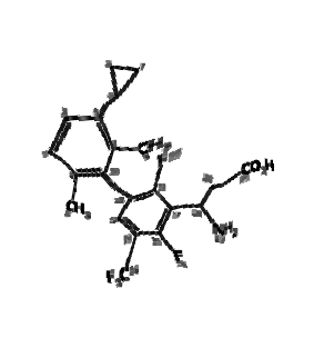 Cc1ccc(C2CC2)c(C)c1-c1cc(C(F)(F)F)c(F)c(C(N)CC(=O)O)c1F